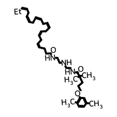 CC/C=C\C/C=C\C/C=C\C/C=C\C/C=C\C/C=C\CCC(=O)NCCNCCNC(=O)C(C)(C)CCCOc1cc(C)ccc1C